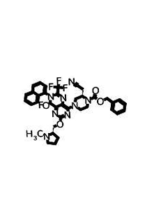 CN1CCC[C@H]1COc1nc(N2CCN(C(=O)OCc3ccccc3)[C@@H](CC#N)C2)c2nc(C(F)(F)F)n(-c3cccc4cccc(F)c34)c(=O)c2n1